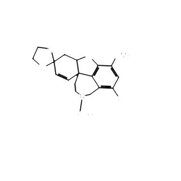 COc1cc(Br)c2c3c1OC1CC4(C=CC31CCN(C=O)C2)OCCO4